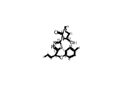 CC=CC(Oc1ccc(C)cc1)c1nnc(N2C(=O)N(C)CC2O)s1